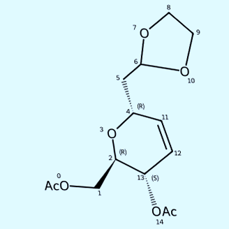 CC(=O)OC[C@H]1O[C@H](CC2OCCO2)C=C[C@@H]1OC(C)=O